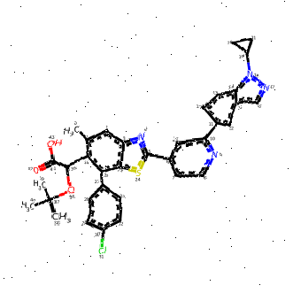 Cc1cc2nc(-c3ccnc(-c4ccc5c(cnn5C5CC5)c4)c3)sc2c(-c2ccc(Cl)cc2)c1C(OC(C)(C)C)C(=O)O